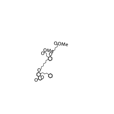 COC(=O)CCCCCOc1cccc(CCCCCCOc2ccc3c(=O)ccoc3c2CCCc2ccccc2)c1CCC(=O)OC